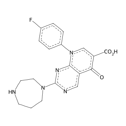 O=C(O)c1cn(-c2ccc(F)cc2)c2nc(N3CCCNCC3)ncc2c1=O